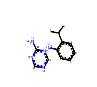 CC(C)c1ccccc1N.Nc1ncncn1